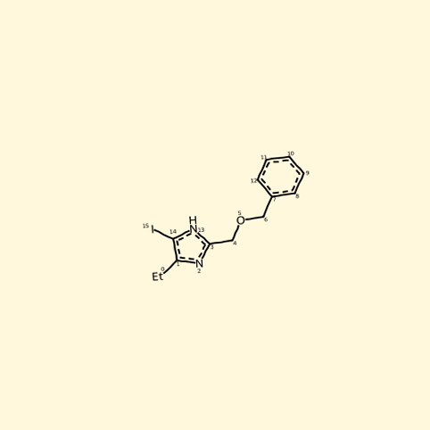 CCc1nc(COCc2ccccc2)[nH]c1I